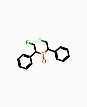 [O-][S+](C(CF)c1ccccc1)C(CF)c1ccccc1